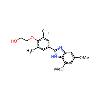 COc1cc(OC)c2[nH]c(-c3cc(C)c(OCCO)c(C)c3)nc2c1